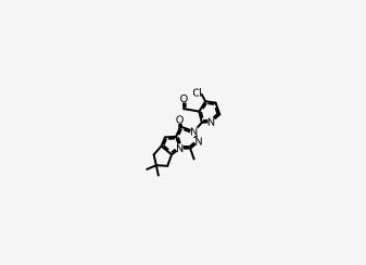 Cc1nn(-c2nccc(Cl)c2C=O)c(=O)c2cc3c(n12)CC(C)(C)C3